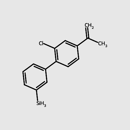 C=C(C)c1ccc(-c2cccc([SiH3])c2)c(Cl)c1